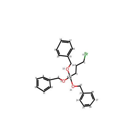 BrCCC[Si](OCc1ccccc1)(OCc1ccccc1)OCc1ccccc1